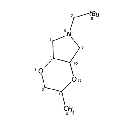 CC1COC2CN(CC(C)(C)C)CC2O1